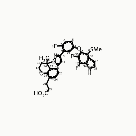 CSc1c(Oc2ccc(F)c(-c3ccn(C4(C)CCOc5c(CCC(=O)O)cccc54)n3)c2)c(F)c(F)c2[nH]ccc12